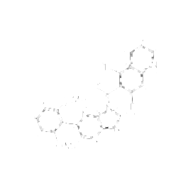 COc1cccc(OC)c1-c1cnc2ncn(C(C)c3c(F)cc4ncccc4c3F)c2n1